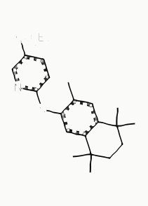 CCOC(=O)c1ccc(Sc2cc3c(cc2C)C(C)(C)CCC3(C)C)nc1